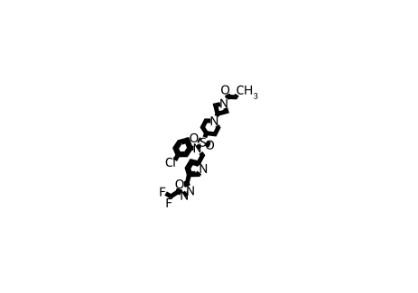 CCC(=O)N1CC(N2CCC(S(=O)(=O)N(Cc3ccc(-c4nnc(C(F)F)o4)cn3)c3cccc(Cl)c3)CC2)C1